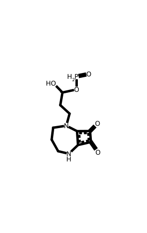 O=[PH2]O[C](O)CCN1CCCNc2c1c(=O)c2=O